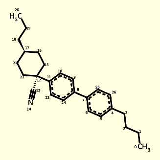 CCCCc1ccc(-c2ccc([C@]3(C#N)CC[C@H](CCC)CC3)cc2)cc1